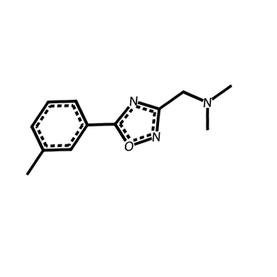 Cc1cccc(-c2nc(CN(C)C)no2)c1